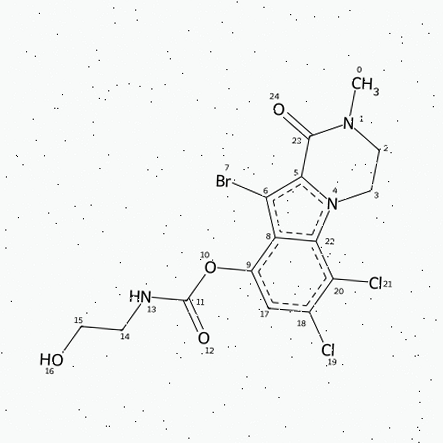 CN1CCn2c(c(Br)c3c(OC(=O)NCCO)cc(Cl)c(Cl)c32)C1=O